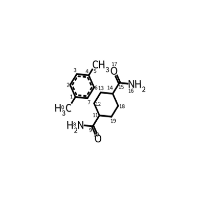 Cc1ccc(C)cc1.NC(=O)C1CCC(C(N)=O)CC1